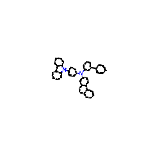 c1ccc(-c2cccc(N(c3ccc(-n4c5ccccc5c5ccccc54)cc3)c3ccc4c(ccc5ccccc54)c3)c2)cc1